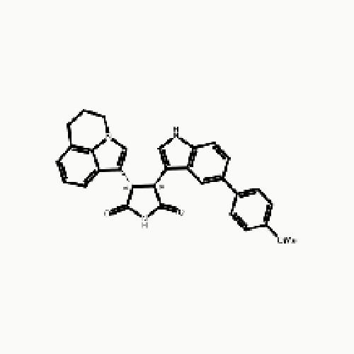 COc1ccc(-c2ccc3[nH]cc([C@H]4C(=O)NC(=O)[C@@H]4c4cn5c6c(cccc46)CCC5)c3c2)cc1